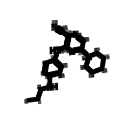 CCCNc1ccc(Nc2nc(N3CCCCC3)cnc2C#N)cc1